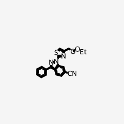 CCOOCc1csc(-n2nc(-c3ccccc3)c3ccc(C#N)cc32)n1